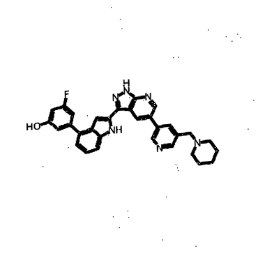 Oc1cc(F)cc(-c2cccc3[nH]c(-c4n[nH]c5ncc(-c6cncc(CN7CCCCC7)c6)cc45)cc23)c1